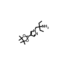 CCC(N)(CC)Cn1cc(B2OC(C)(C)C(C)(C)O2)cn1